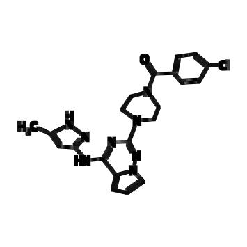 Cc1cc(Nc2nc(N3CCN(C(=O)c4ccc(Cl)cc4)CC3)nn3cccc23)n[nH]1